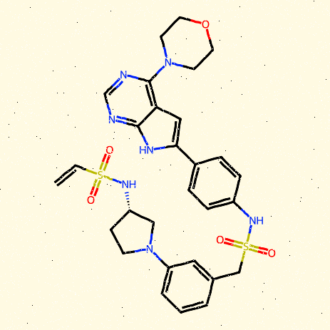 C=CS(=O)(=O)N[C@H]1CCN(c2cccc(CS(=O)(=O)Nc3ccc(-c4cc5c(N6CCOCC6)ncnc5[nH]4)cc3)c2)C1